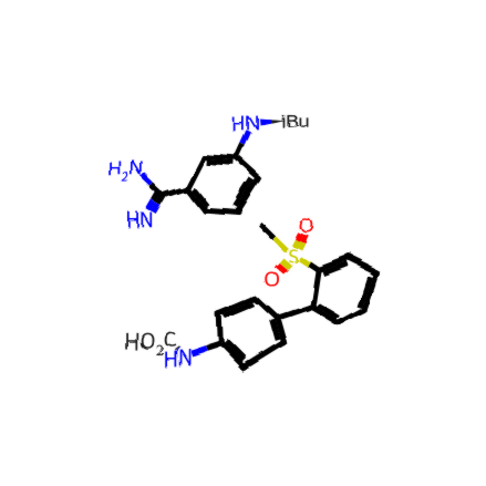 CC[C@H](C)Nc1cccc(C(=N)N)c1.CS(=O)(=O)c1ccccc1-c1ccc(NC(=O)O)cc1